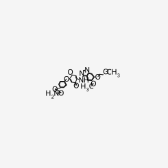 COCCOc1cc2ncnc(NC3=CC(=O)C(Oc4ccc(S(N)(=O)=O)cc4)=CC3=O)c2cc1OC